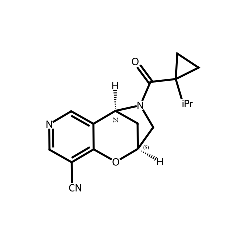 CC(C)C1(C(=O)N2C[C@@H]3C[C@H]2c2cncc(C#N)c2O3)CC1